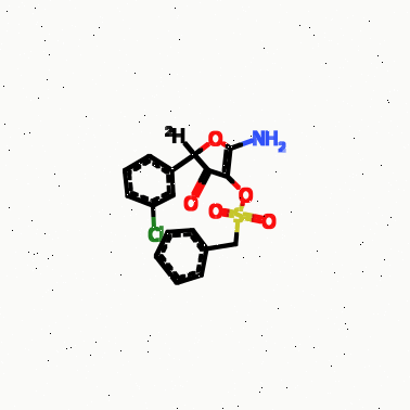 [2H]C1(c2cccc(Cl)c2)OC(N)=C(OS(=O)(=O)Cc2ccccc2)C1=O